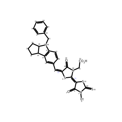 CCN1C(=O)/C(=c2\s/c(=C/c3ccc4c(c3)C3CCCC3N4Cc3ccccc3)c(=O)n2CC(=O)O)SC1=S